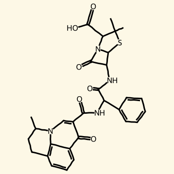 CC1CCc2cccc3c(=O)c(C(=O)NC(C(=O)NC4C(=O)N5C4SC(C)(C)C5C(=O)O)c4ccccc4)cn1c23